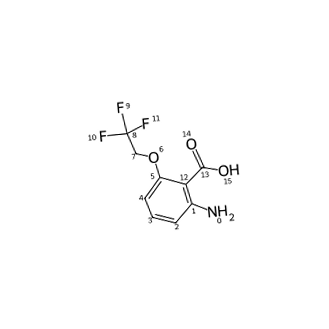 Nc1cccc(OCC(F)(F)F)c1C(=O)O